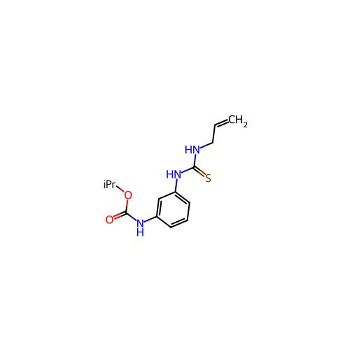 C=CCNC(=S)Nc1cccc(NC(=O)OC(C)C)c1